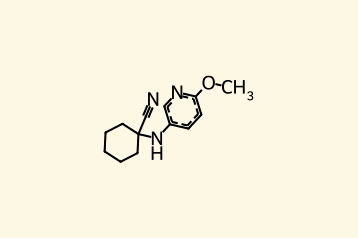 COc1ccc(NC2(C#N)CCCCC2)cn1